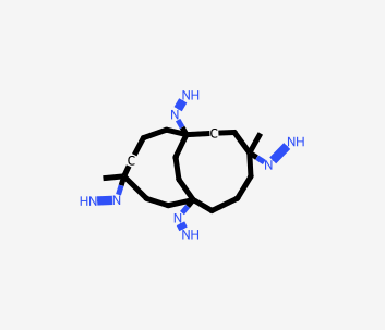 CC1(N=N)CCCC2(N=N)CCC(C)(N=N)CCCC(N=N)(CC1)CC2